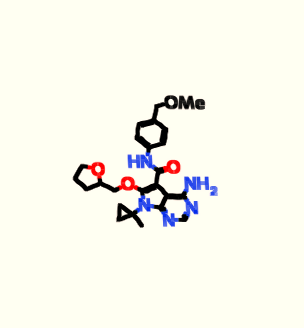 COCc1ccc(NC(=O)c2c(OCC3CCCO3)n(C3(C)CC3)c3ncnc(N)c23)cc1